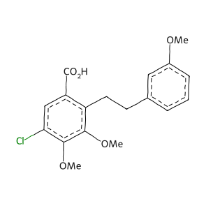 COc1cccc(CCc2c(C(=O)O)cc(Cl)c(OC)c2OC)c1